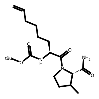 C=CCCCC[C@H](NC(=O)OC(C)(C)C)C(=O)N1CCC(C)[C@H]1C(N)=O